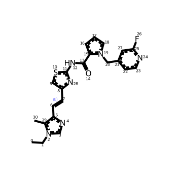 CCn1cnc(/C=C/c2csc(NC(=O)c3cccn3Cc3ccnc(F)c3)n2)c1C